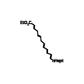 CCCCCCCC=CC=C/C=C/C/C=C/CC=CC(=O)OCC